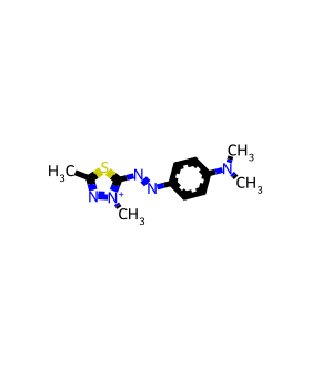 Cc1n[n+](C)c(N=Nc2ccc(N(C)C)cc2)s1